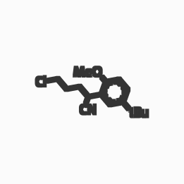 COc1ccc(C(C)(C)C)cc1C(C#N)CCCCl